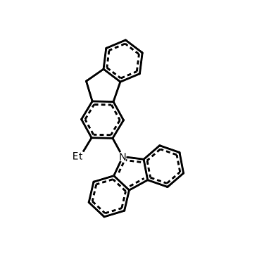 CCc1cc2c(cc1-n1c3ccccc3c3ccccc31)-c1ccccc1C2